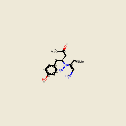 CNC/C(=C/N)N(N)[C@H](CC(=O)OC)Cc1ccc(O)cc1